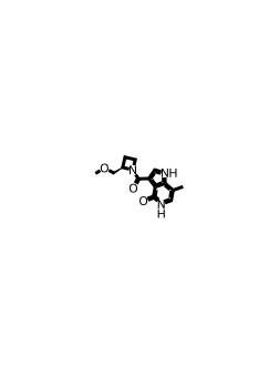 COC[C@H]1CCN1C(=O)c1c[nH]c2c(C)c[nH]c(=O)c12